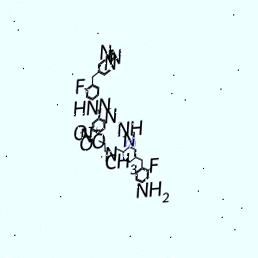 CN(CCOc1cc2ncnc(Nc3ccc(Cc4ccn5ncnc5c4)c(F)c3)c2cc1[N+](=O)[O-])CC1C=CC(Cc2ccc(N)cc2F)=C/C1=N/C=N